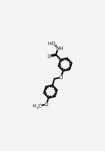 COc1ccc(COc2cccc(C(=O)NO)c2)cc1